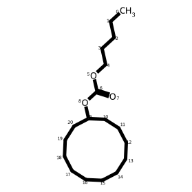 CCCCCOC(=O)OC1CCCCCCCCCCC1